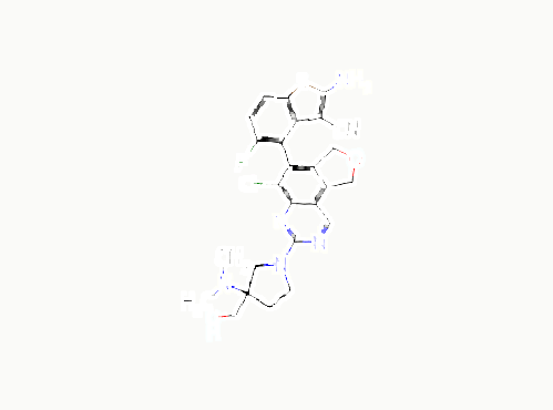 CN(C)C1(CO)CCN(c2ncc3c4c(c(-c5c(F)ccc6sc(N)c(C#N)c56)c(Cl)c3n2)COC4)C1